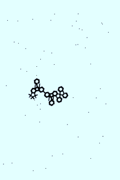 CC1(C)c2ccc3c(c2C(C)(C)C1(C)C)c1cc(-c2ccc4c(c2)c2ccc5c(c2n4-c2ccccc2)-c2ccccc2C52c4ccccc4-c4ccccc42)ccc1n3-c1ccccc1